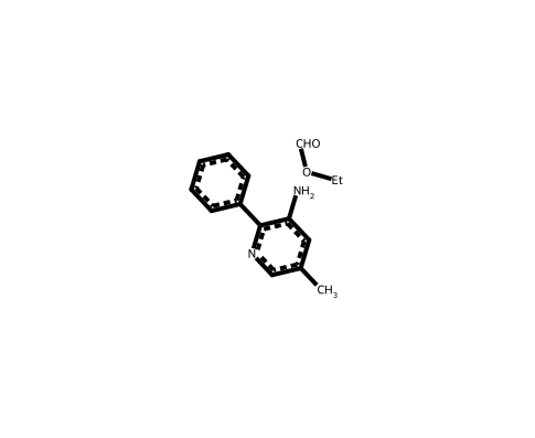 CCOC=O.Cc1cnc(-c2ccccc2)c(N)c1